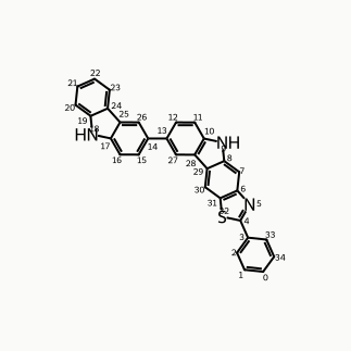 c1ccc(-c2nc3cc4[nH]c5ccc(-c6ccc7[nH]c8ccccc8c7c6)cc5c4cc3s2)cc1